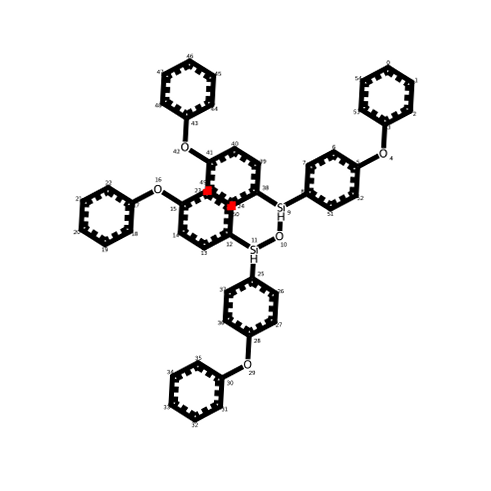 c1ccc(Oc2ccc([SiH](O[SiH](c3ccc(Oc4ccccc4)cc3)c3ccc(Oc4ccccc4)cc3)c3ccc(Oc4ccccc4)cc3)cc2)cc1